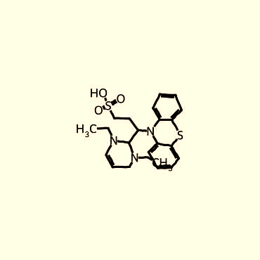 CCN1C=CCN(CC)C1C(CCS(=O)(=O)O)N1c2ccccc2Sc2ccccc21